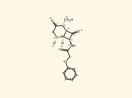 O=C(COc1ccccc1)N[C@@H]1C(=O)N2[C@@H](C(=O)O)C(=O)C[S@@+]([O-])[C@H]12